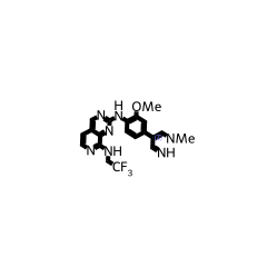 CN/C=C(\C=N)c1ccc(Nc2ncc3ccnc(NCC(F)(F)F)c3n2)c(OC)c1